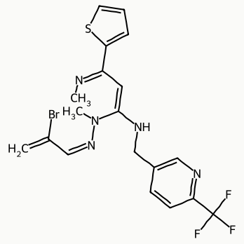 C=C(Br)/C=N\N(C)/C(=C\C(=N/C)c1cccs1)NCc1ccc(C(F)(F)F)nc1